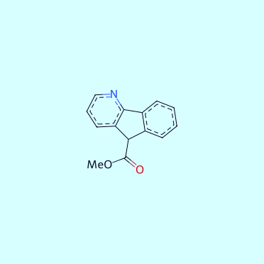 COC(=O)C1c2ccccc2-c2ncccc21